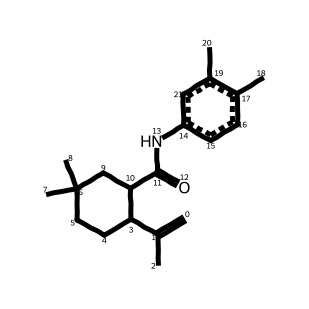 C=C(C)C1CCC(C)(C)CC1C(=O)Nc1ccc(C)c(C)c1